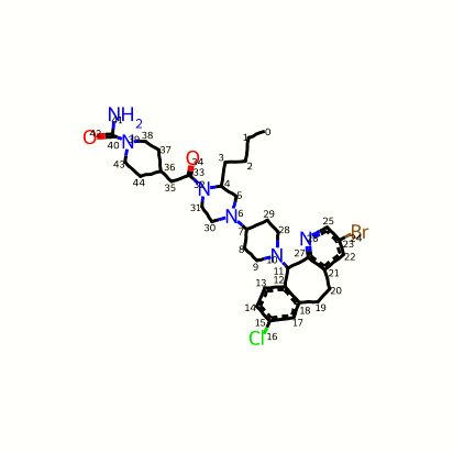 CCCCC1CN(C2CCN(C3c4ccc(Cl)cc4CCc4cc(Br)cnc43)CC2)CCN1C(=O)CC1CCN(C(N)=O)CC1